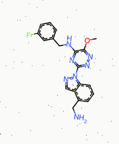 COc1nnc(-n2ncc3c(CN)cccc32)nc1NCc1cccc(F)c1